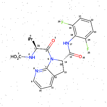 CC(C)[C@H](NC(=O)O)C(=O)N1c2ncccc2C[C@H]1C(=O)Nc1c(F)cccc1F